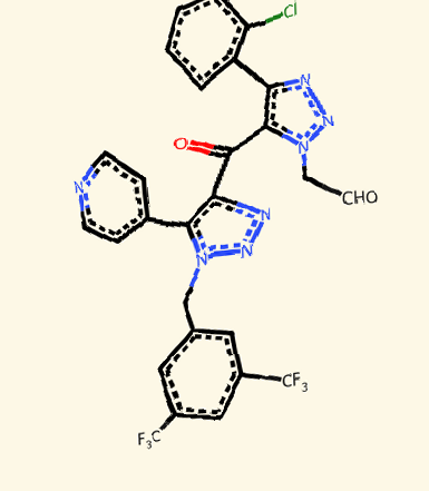 O=CCn1nnc(-c2ccccc2Cl)c1C(=O)c1nnn(Cc2cc(C(F)(F)F)cc(C(F)(F)F)c2)c1-c1ccncc1